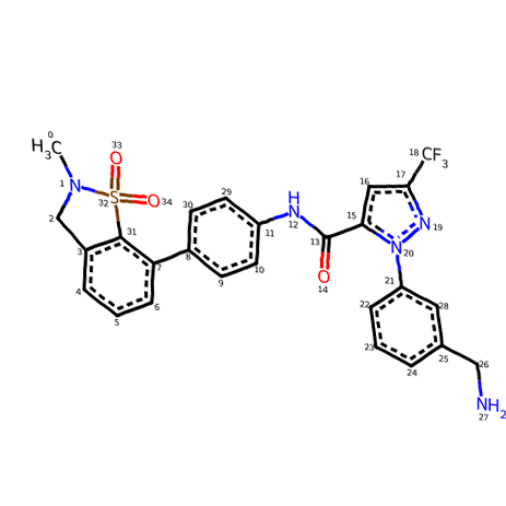 CN1Cc2cccc(-c3ccc(NC(=O)c4cc(C(F)(F)F)nn4-c4cccc(CN)c4)cc3)c2S1(=O)=O